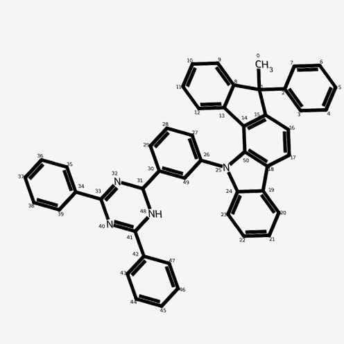 CC1(c2ccccc2)c2ccccc2-c2c1ccc1c3ccccc3n(-c3cccc(C4N=C(c5ccccc5)N=C(c5ccccc5)N4)c3)c21